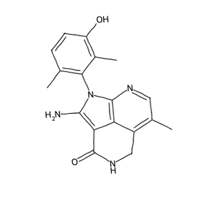 Cc1ccc(O)c(C)c1-n1c(N)c2c3c(c(C)cnc31)CNC2=O